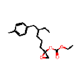 CCOC(=O)OC1(CCCC(CC)Cc2ccc(C)cc2)CO1